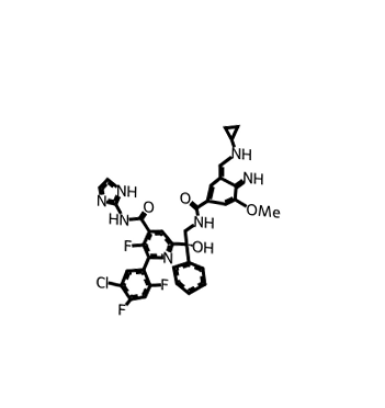 COC1=CC(C(=O)NC[C@@](O)(c2ccccc2)c2cc(C(=O)Nc3ncc[nH]3)c(F)c(-c3cc(Cl)c(F)cc3F)n2)=C/C(=C/NC2CC2)C1=N